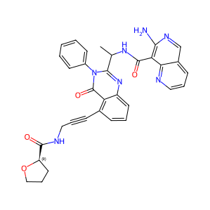 CC(NC(=O)c1c(N)ncc2cccnc12)c1nc2cccc(C#CCNC(=O)[C@H]3CCCO3)c2c(=O)n1-c1ccccc1